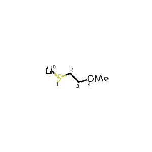 [Li][S]CCOC